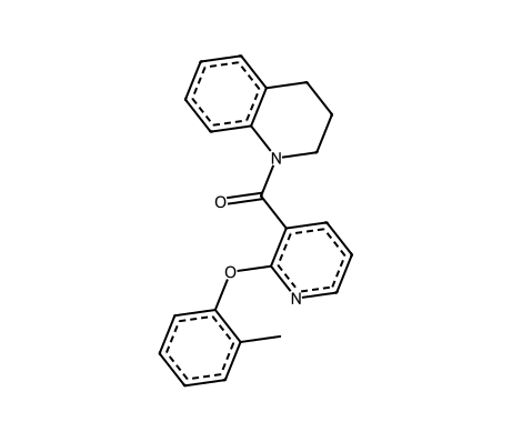 Cc1ccccc1Oc1ncccc1C(=O)N1CCCc2ccccc21